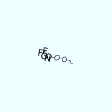 CCC[C@H]1CC[C@H](C2CCC(c3ccc(OC(F)F)nc3)CC2)CC1